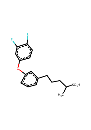 CC(CCCc1cccc(Oc2ccc(F)c(F)c2)c1)S(=O)(=O)O